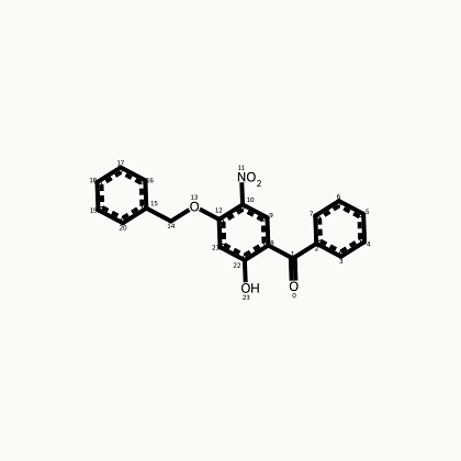 O=C(c1ccccc1)c1cc([N+](=O)[O-])c(OCc2ccccc2)cc1O